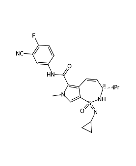 CC(C)[C@H]1C=Cc2c(cn(C)c2C(=O)Nc2ccc(F)c(C#N)c2)S(=O)(=NC2CC2)N1